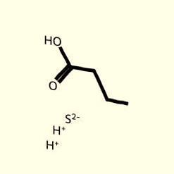 CCCC(=O)O.[H+].[H+].[S-2]